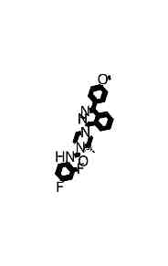 COc1ccc(-c2nnc(N3CCN(C(=O)Nc4ccc(F)cc4F)[C@@H](C)C3)c3ccccc23)cc1